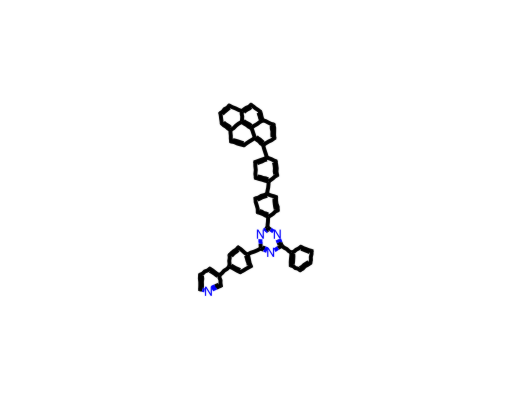 c1ccc(-c2nc(-c3ccc(-c4ccc(-c5ccc6ccc7cccc8ccc5c6c78)cc4)cc3)nc(-c3ccc(-c4cccnc4)cc3)n2)cc1